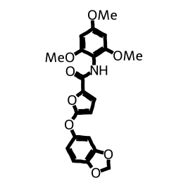 COc1cc(OC)c(NC(=O)c2ccc(Oc3ccc4c(c3)OCO4)o2)c(OC)c1